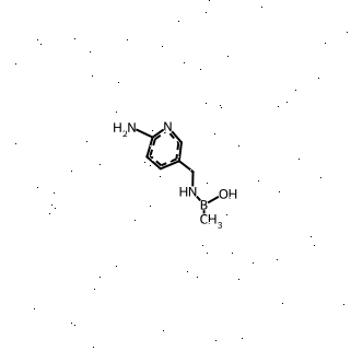 CB(O)NCc1ccc(N)nc1